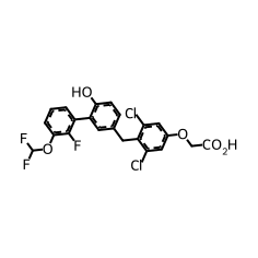 O=C(O)COc1cc(Cl)c(Cc2ccc(O)c(-c3cccc(OC(F)F)c3F)c2)c(Cl)c1